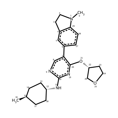 CN1CCc2cc(-c3cnc(N[C@H]4CC[C@H](C)CC4)nc3O[C@@H]3CCOC3)ccc21